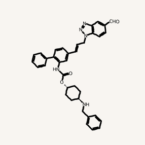 O=Cc1ccc2c(c1)nnn2CC=Cc1ccc(-c2ccccc2)c(NC(=O)O[C@H]2CC[C@H](NCc3ccccc3)CC2)c1